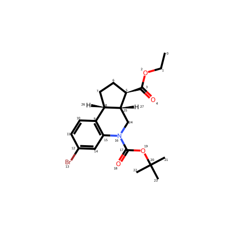 CCOC(=O)[C@@H]1CC[C@H]2c3ccc(Br)cc3N(C(=O)OC(C)(C)C)C[C@@H]12